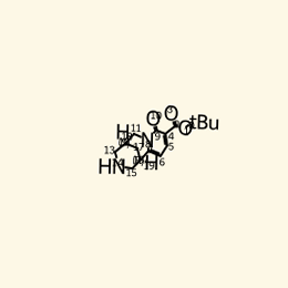 CC(C)(C)OC(=O)c1ccc2n(c1=O)C[C@@H]1CNC[C@H]2C1